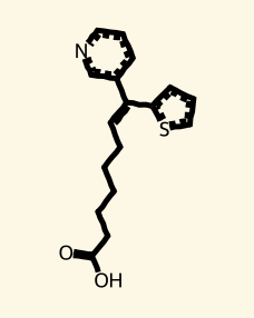 O=C(O)CCCCCC=C(c1cccnc1)c1cccs1